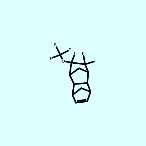 FC(F)(F)OC1(F)C2CC(C3C4C=CC(C4)C32)C1(F)F